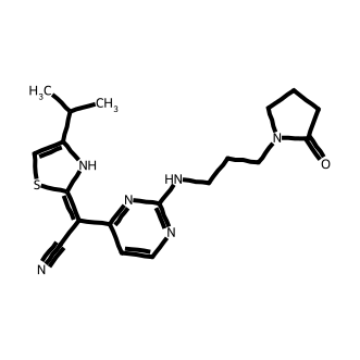 CC(C)C1=CS/C(=C(\C#N)c2ccnc(NCCCN3CCCC3=O)n2)N1